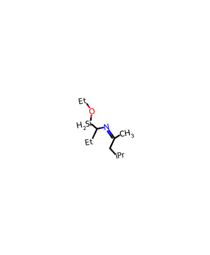 CCO[SiH2]C(CC)N=C(C)CC(C)C